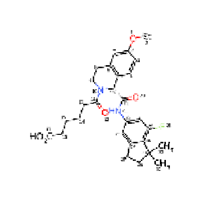 CCOc1ccc2c(c1)CCN(C(=O)CCCCC(=O)O)[C@H]2C(=O)Nc1cc(F)c2c(c1)CCC2(C)C